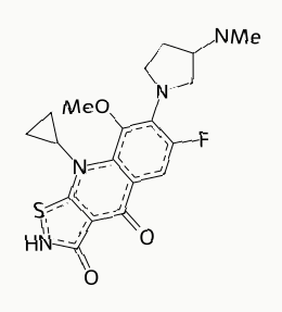 CNC1CCN(c2c(F)cc3c(=O)c4c(=O)[nH]sc4n(C4CC4)c3c2OC)C1